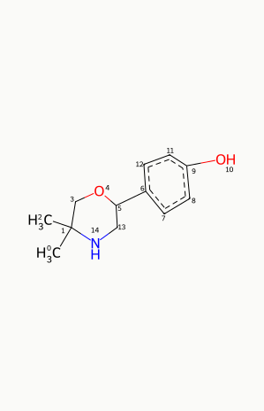 CC1(C)COC(c2ccc(O)cc2)CN1